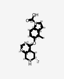 Cc1c(Oc2ncnc3c2C[C@H](C)NC3)ccc2c1ccn2C(=O)O